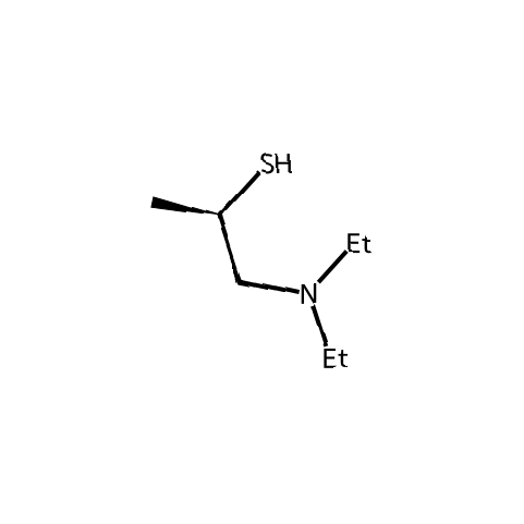 CCN(CC)C[C@@H](C)S